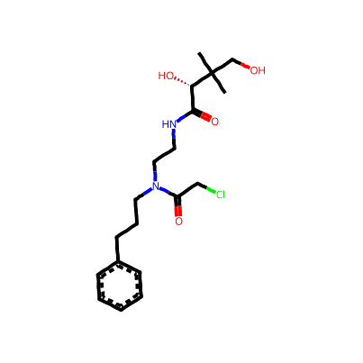 CC(C)(CO)[C@@H](O)C(=O)NCCN(CCCc1ccccc1)C(=O)CCl